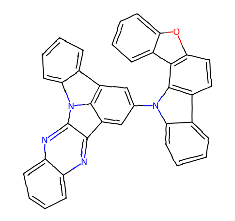 c1ccc2nc3c(nc2c1)c1cc(-n2c4ccccc4c4ccc5oc6ccccc6c5c42)cc2c4ccccc4n3c21